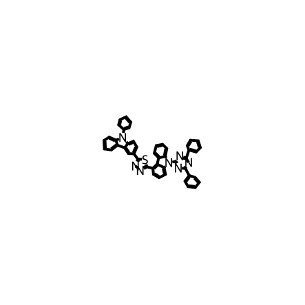 c1ccc(-c2nc(-c3ccccc3)nc(-n3c4ccccc4c4c(-c5nnc(-c6ccc7c(c6)c6ccccc6n7-c6ccccc6)s5)cccc43)n2)cc1